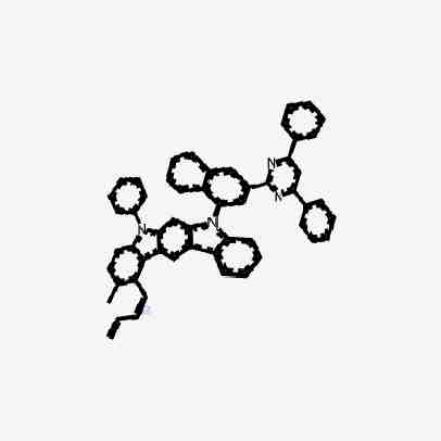 C=C/C=C\c1c(C)ccc2c1c1cc3c4ccccc4n(-c4cc(-c5nc(-c6ccccc6)cc(-c6ccccc6)n5)cc5ccccc45)c3cc1n2-c1ccccc1